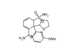 COc1ccnc(C2(C3CCCO3)C(C(N)=O)=CC=CC2S(N)(=O)=O)n1